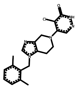 Cc1cccc(C)c1Cn1cnc2c1CCN(c1cn[nH]c(=O)c1Cl)C2